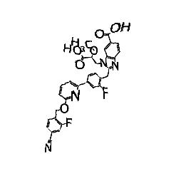 CO[C@@H](Cn1c(Cc2ccc(-c3cccc(OCc4ccc(C#N)cc4F)n3)cc2F)nc2ccc(C(=O)O)cc21)C(=O)O